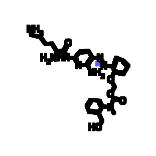 CN(C(=O)OCOc1ccccc1/N=N/c1ccc(NC(=O)[C@@H](N)CCCCN)nc1N)c1ccccc1CO